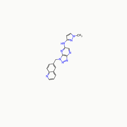 Cn1ccc(Nc2cnc3nnn(Cc4ccc5ncccc5c4)c3n2)n1